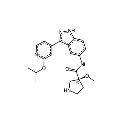 CO[C@@]1(C(=O)Nc2ccc3[nH]nc(-c4ccnc(OC(C)C)c4)c3c2)CCNC1